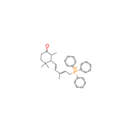 CC(C=CC1C(C)C(=O)CCC1(C)C)=CC[PH](c1ccccc1)(c1ccccc1)c1ccccc1